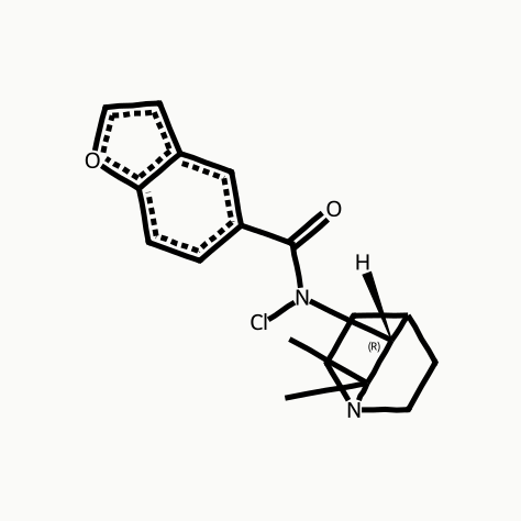 CC1(C)[C@H](N(Cl)C(=O)c2ccc3occc3c2)C2CCN1CC2